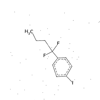 CCCC(F)(F)c1ccc(I)cc1